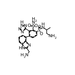 CC(CN)NS(=O)(=O)c1ccc(-c2cccc3[nH]c(CN)nc23)c(-c2nn[nH]n2)c1S(N)(=O)=O